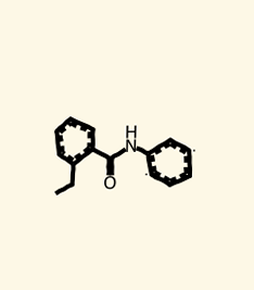 CCc1ccccc1C(=O)Nc1[c]cc[c]c1